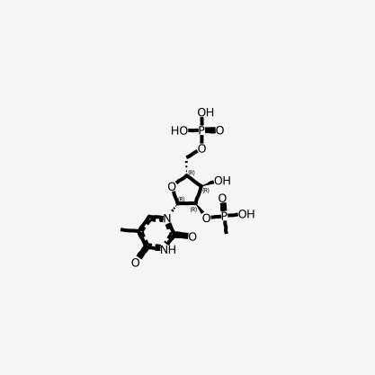 Cc1cn([C@@H]2O[C@H](COP(=O)(O)O)[C@@H](O)[C@H]2OP(C)(=O)O)c(=O)[nH]c1=O